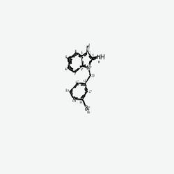 N=c1[nH]c2ccccc2n1Cc1cccc(Br)c1